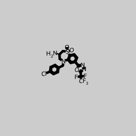 N[C@@H]1CN(Cc2ccc(Cl)cc2)c2cc(-c3nnc(C(F)(F)C(F)(F)F)o3)ccc2S(=O)(=O)C1